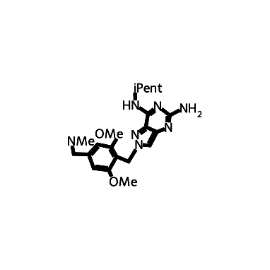 CCCC(C)Nc1nc(N)nc2cn(Cc3c(OC)cc(CNC)cc3OC)nc12